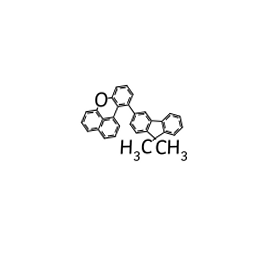 CC1(C)c2ccccc2-c2cc(-c3cccc4c3-c3cccc5cccc(c35)O4)ccc21